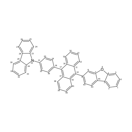 c1ccc2c(c1)oc1cc(-c3c4ccccc4c(-c4ccc(-n5c6ccccc6c6ccccc65)cc4)c4ccccc34)ccc12